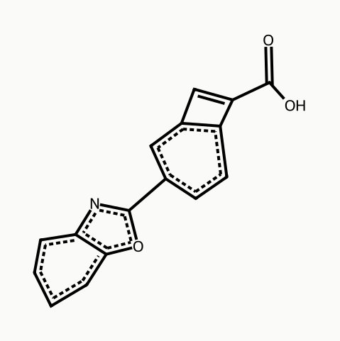 O=C(O)C1=Cc2cc(-c3nc4ccccc4o3)ccc21